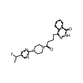 O=C(CCCc1n[nH]c(=O)c2ccccc12)N1CCN(c2ncc(C(F)F)cn2)CC1